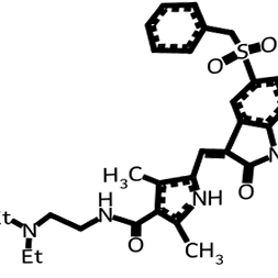 CCN(CC)CCNC(=O)c1c(C)[nH]c(/C=C2\C(=O)Nc3ccc(S(=O)(=O)Cc4ccccc4)cc32)c1C